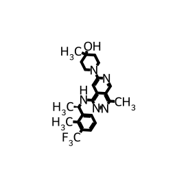 Cc1c([C@@H](C)Nc2nnc(C)c3cnc(N4CCC(C)(O)CC4)cc23)cccc1C(F)(F)F